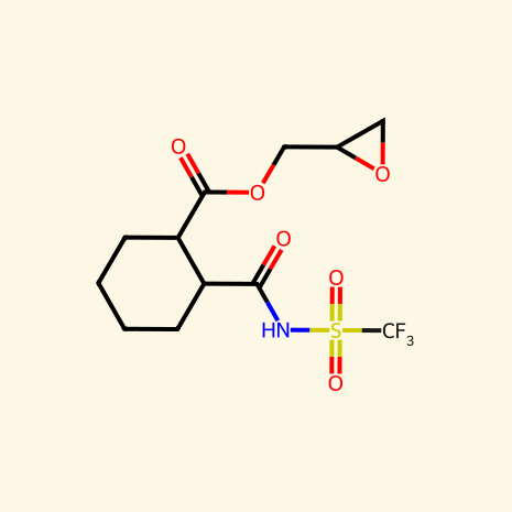 O=C(NS(=O)(=O)C(F)(F)F)C1CCCCC1C(=O)OCC1CO1